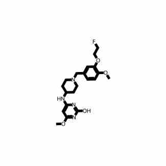 COc1cc(NC2CCN(Cc3ccc(OC)c(OCCF)c3)CC2)nc(O)n1